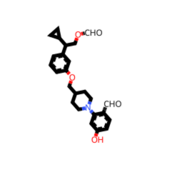 O=COCC(c1cccc(OCC2CCN(c3cc(O)ccc3C=O)CC2)c1)C1CC1